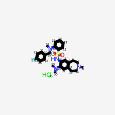 CN1CCc2cc(NS(=O)(=O)c3ccccc3N(C)Cc3ccc(F)cc3)c(N(C)C)cc2CC1.Cl